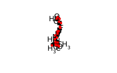 CC(=O)c1c(C)c2cnc(Nc3ccc(N4CCC(N5CC(F)(CCc6ccc(C7CCC(=O)NC7=O)cc6)C5)CC4)cn3)nc2n(C2CCCC2)c1=O